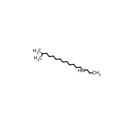 CCCNCCCCCCCCCCCC(C)C